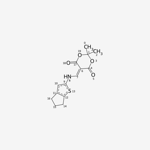 CC1(C)OC(=O)C(=CNc2cc3c(s2)CCC3)C(=O)O1